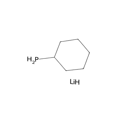 PC1CCCCC1.[LiH]